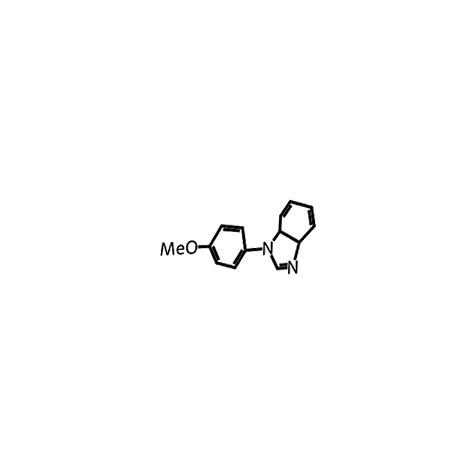 COc1ccc(N2C=NC3C=CC=CC32)cc1